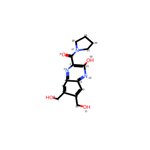 O=C(c1nc2cc(CO)c(CO)cc2nc1O)N1CCCC1